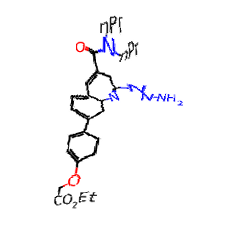 CCCN(CCC)C(=O)C1=CC2=CC=C(C3=CC=C(OCC(=O)OCC)CC3)CC2N=C(N=NN)C1